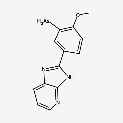 COc1ccc(-c2nc3cccnc3[nH]2)cc1[AsH2]